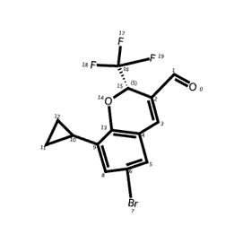 O=CC1=Cc2cc(Br)cc(C3CC3)c2O[C@@H]1C(F)(F)F